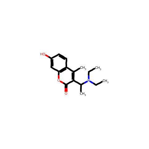 CCN(CC)C(C)c1c(C)c2ccc(O)cc2oc1=O